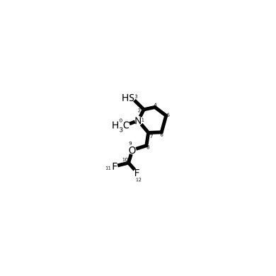 CN1C(S)CCCC1COC(F)F